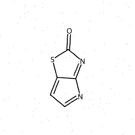 O=C1N=C2N=CC=C2S1